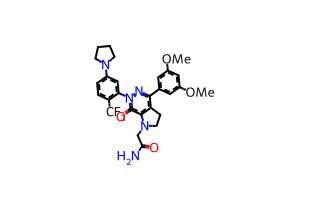 COc1cc(OC)cc(-c2nn(-c3cc(N4CCCC4)ccc3C(F)(F)F)c(=O)c3c2CCN3CC(N)=O)c1